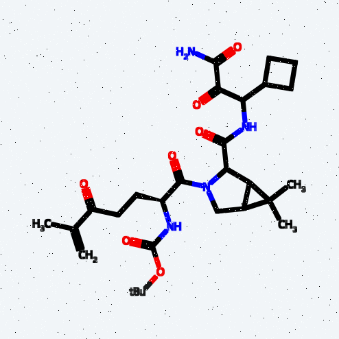 C=C(C)C(=O)CC[C@H](NC(=O)OC(C)(C)C)C(=O)N1CC2C(C1C(=O)NC(C(=O)C(N)=O)C1CCC1)C2(C)C